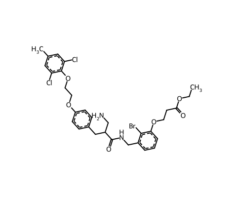 CCOC(=O)CCOc1cccc(CNC(=O)C(CN)Cc2ccc(OCCOc3c(Cl)cc(C)cc3Cl)cc2)c1Br